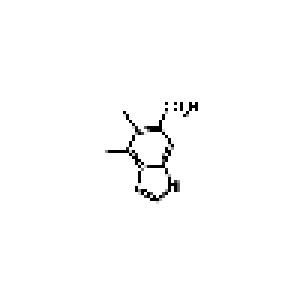 Cc1c(C(=O)O)cc2[nH]ccc2c1C